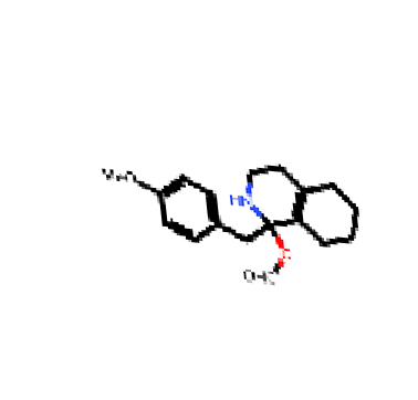 COc1ccc(CC2(OC=O)NCCC3=C2CCCC3)cc1